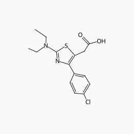 CCN(CC)c1nc(-c2ccc(Cl)cc2)c(CC(=O)O)s1